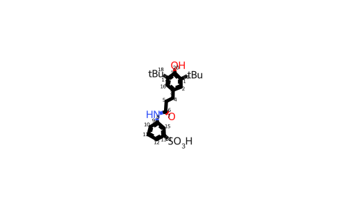 CC(C)(C)c1cc(CCC(=O)Nc2cccc(S(=O)(=O)O)c2)cc(C(C)(C)C)c1O